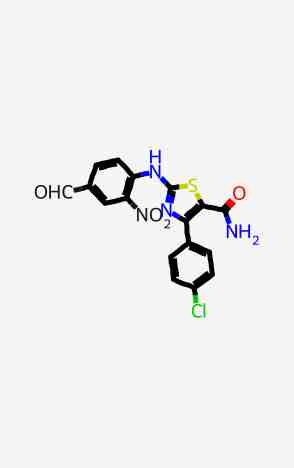 NC(=O)c1sc(Nc2ccc(C=O)cc2[N+](=O)[O-])nc1-c1ccc(Cl)cc1